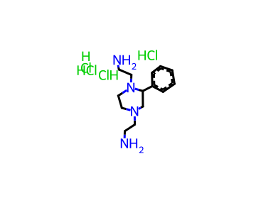 Cl.Cl.Cl.Cl.NCCN1CCN(CCN)C(c2ccccc2)C1